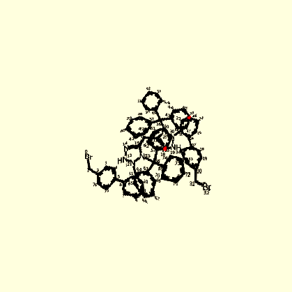 BrCc1ccc(-c2ccccc2N2NN=C(CC3=NNN(c4ccccc4-c4ccc(CBr)cc4)N3C(c3ccccc3)(c3ccccc3)c3ccccc3)N2C(c2ccccc2)(c2ccccc2)c2ccccc2)cc1